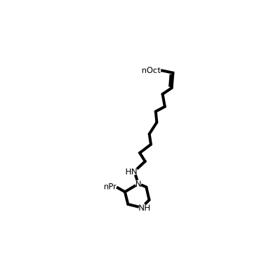 CCCCCCCC/C=C\CCCCCCCCNN1CCNCC1CCC